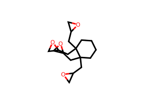 C1CCC(CC2CO2)(CC2CO2)C(CC2CO2)(CC2CO2)C1